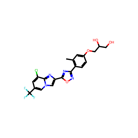 Cc1cc(OCC(O)CO)ccc1-c1noc(-c2cn3cc(C(F)(F)F)cc(Cl)c3n2)n1